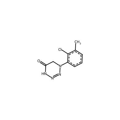 Cc1cccc(N2CC(=O)NN=N2)c1Cl